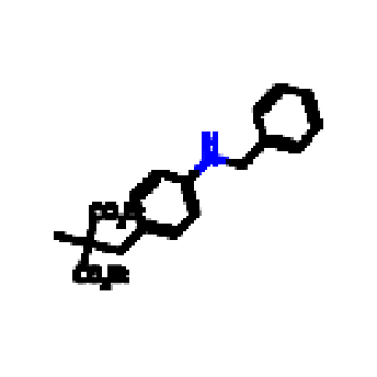 CCOC(=O)C(C)(Cc1ccc(NCc2ccccc2)cc1)C(=O)OCC